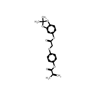 C=C(C)C(=O)Oc1ccc(OCC(=O)Oc2ccc3c(c2)OC(C)(C)O3)cc1